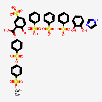 O=C(O)c1cc(S(=O)(=O)O)ccc1O.O=S(=O)(O)c1ccccc1.O=S(=O)([O-])c1ccccc1.O=S(=O)([O-])c1ccccc1.O=S(=O)([O-])c1ccccc1.O=S(=O)([O-])c1ccccc1.Oc1ccccc1O.[Ca+2].[Ca+2].c1c[nH]cn1